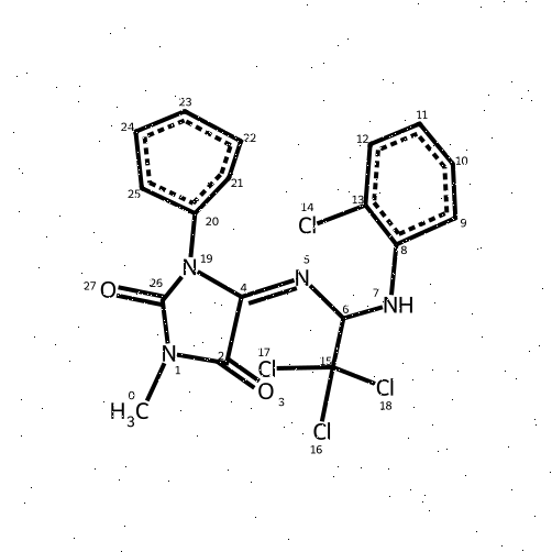 CN1C(=O)C(=NC(Nc2ccccc2Cl)C(Cl)(Cl)Cl)N(c2ccccc2)C1=O